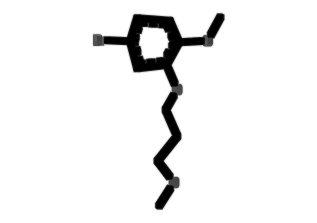 COCCCOc1cc(Br)ccc1OC